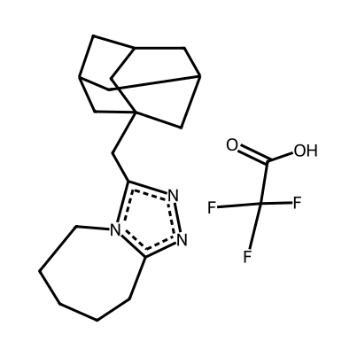 C1CCc2nnc(CC34CC5CC(CC(C5)C3)C4)n2CC1.O=C(O)C(F)(F)F